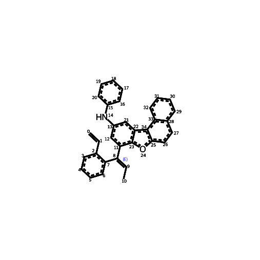 C=Cc1ccccc1/C(=C\C)c1cc(Nc2ccccc2)cc2c1oc1ccc3ccccc3c12